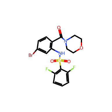 O=C(c1ccc(Br)cc1NS(=O)(=O)c1c(F)cccc1F)N1CCOCC1